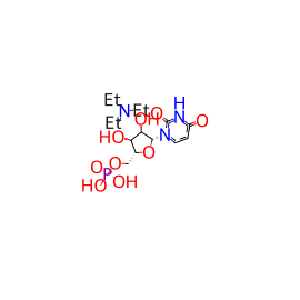 CCN(CC)CC.O=c1ccn([C@@H]2O[C@H](COP(=O)(O)O)[C@@H](O)[C@H]2O)c(=O)[nH]1